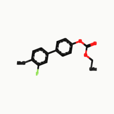 COc1ccc(-c2ccc(OC(=O)OCOC(C)=O)cc2)cc1F